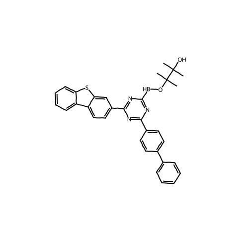 CC(C)(O)C(C)(C)OBc1nc(-c2ccc(-c3ccccc3)cc2)nc(-c2ccc3c(c2)sc2ccccc23)n1